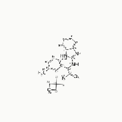 O=C(C(Nc1nc2ccccc2[nH]1)c1cccc(C(F)(F)F)c1)N1CC2(COC2)C1